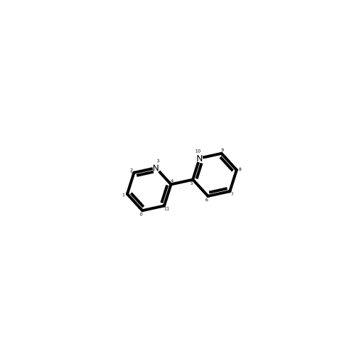 [c]1c[c]nc(-c2ccc[c]n2)c1